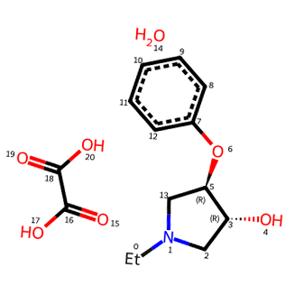 CCN1C[C@@H](O)[C@H](Oc2ccccc2)C1.O.O=C(O)C(=O)O